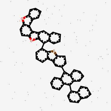 c1ccc2c(-c3c4ccccc4c(-c4ccc5sc6c(-c7c8ccccc8cc8c7oc7ccc9oc%10ccccc%10c9c78)cccc6c5c4)c4ccccc34)cccc2c1